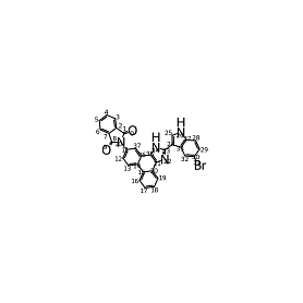 O=C1c2ccccc2C(=O)N1c1ccc2c3ccccc3c3nc(-c4c[nH]c5ccc(Br)cc45)[nH]c3c2c1